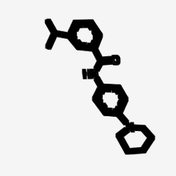 CC(C)c1cccc(C(=O)Nc2ccc(N3CCCCC3)cc2)c1